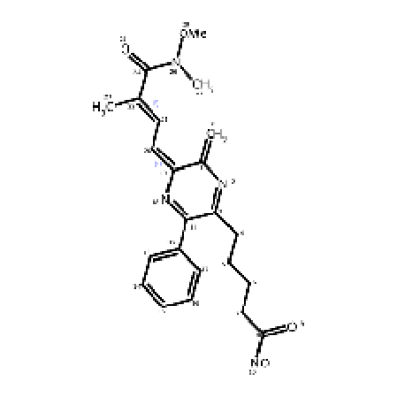 C=c1nc(CCCCC(=O)N=O)c(-c2ccccc2)n/c1=C/C=C(\C)C(=O)N(C)OC